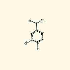 FC(F)(F)C(Br)c1ccc(Cl)c(Cl)c1